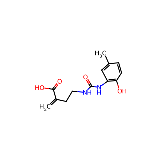 C=C(CCNC(=O)Nc1cc(C)ccc1O)C(=O)O